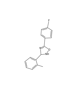 Cc1ccccc1C1N=C(c2ccc(F)cc2)ON1